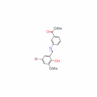 COC(=O)c1cccc(/N=C/c2cc(Br)cc(OC)c2O)c1